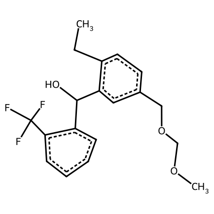 CCc1ccc(COCOC)cc1C(O)c1ccccc1C(F)(F)F